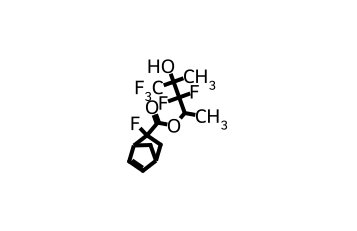 CC(OC(=O)C1(F)CC2C=CC1C2)C(F)(F)C(C)(O)C(F)(F)F